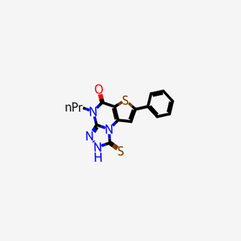 CCCn1c(=O)c2sc(-c3ccccc3)cc2n2c(=S)[nH]nc12